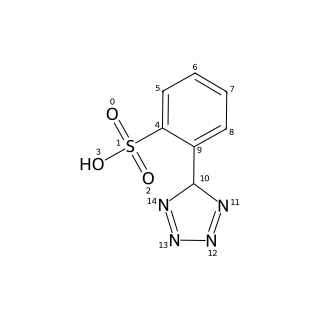 O=S(=O)(O)c1ccccc1C1N=NN=N1